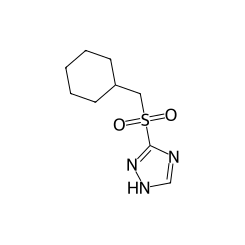 O=S(=O)(CC1CCCCC1)c1nc[nH]n1